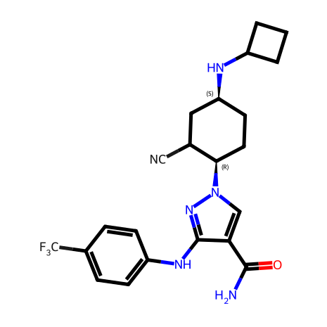 N#CC1C[C@@H](NC2CCC2)CC[C@H]1n1cc(C(N)=O)c(Nc2ccc(C(F)(F)F)cc2)n1